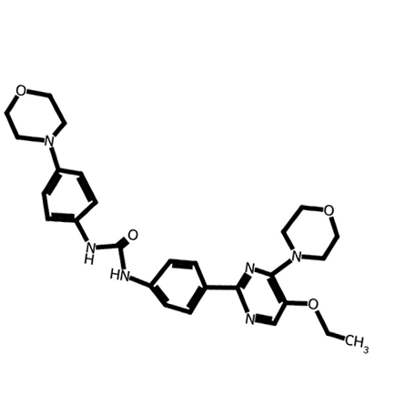 CCOc1cnc(-c2ccc(NC(=O)Nc3ccc(N4CCOCC4)cc3)cc2)nc1N1CCOCC1